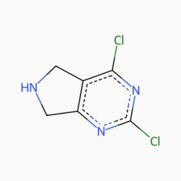 Clc1nc(Cl)c2c(n1)CNC2